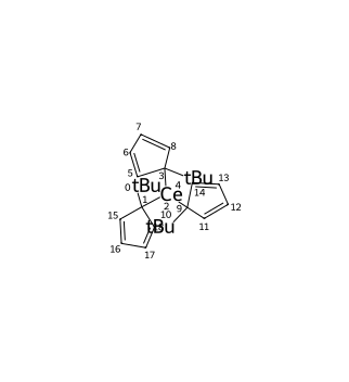 CC(C)(C)[C]1([Ce]([C]2(C(C)(C)C)C=CC=C2)[C]2(C(C)(C)C)C=CC=C2)C=CC=C1